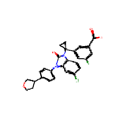 O=C(O)c1cc(F)cc(C2(n3c(=O)n(-c4ccc(C5CCOC5)cc4)c4cc(Cl)ccc43)CC2)c1